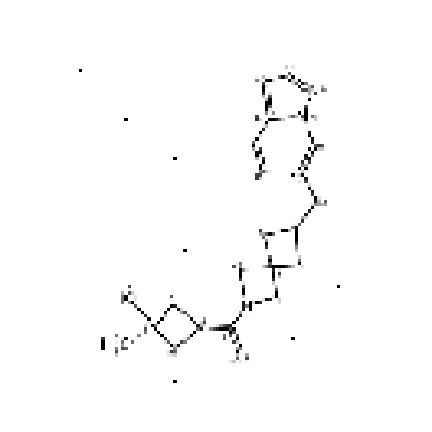 C[C@]1(O)C[C@@H](C(=O)N2CC3(CC(Cc4ccc5ccnn5c4)C3)C2)C1